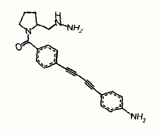 NNCC1CCCN1C(=O)c1ccc(C#CC#Cc2ccc(N)cc2)cc1